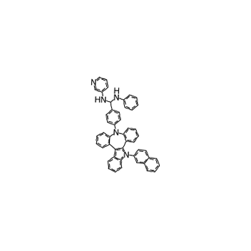 c1ccc(NC(Nc2cccnc2)c2ccc(N3c4ccccc4-c4c(n(-c5ccc6ccccc6c5)c5ccccc45)-c4ccccc43)cc2)cc1